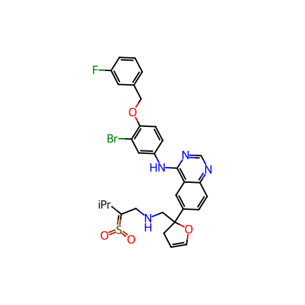 CC(C)C(CNCC1(c2ccc3ncnc(Nc4ccc(OCc5cccc(F)c5)c(Br)c4)c3c2)CC=CO1)=S(=O)=O